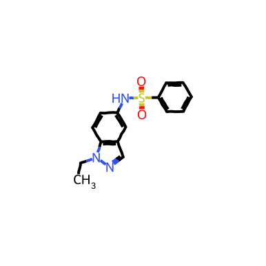 CCn1ncc2cc(NS(=O)(=O)c3ccccc3)ccc21